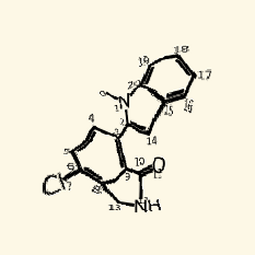 Cn1c(-c2ccc(Cl)c3c2C(=O)NC3)cc2ccccc21